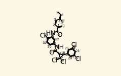 C=C(/C=C\C(F)=C/C)C(=O)Nc1cc(NC(=O)C2C(c3cc(Cl)cc(Cl)c3)C2(Cl)Cl)ccc1Cl